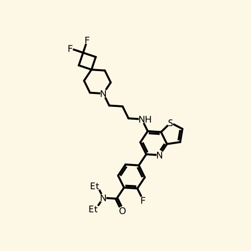 CCN(CC)C(=O)c1ccc(-c2cc(NCCCN3CCC4(CC3)CC(F)(F)C4)c3sccc3n2)cc1F